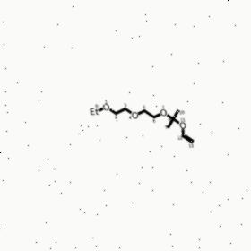 [CH2]COCCOCCOC(C)(C)OC=C